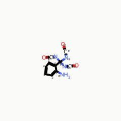 Nc1ccccc1C(N=C=O)(N=C=O)N=C=O